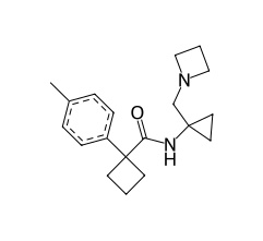 Cc1ccc(C2(C(=O)NC3(CN4CCC4)CC3)CCC2)cc1